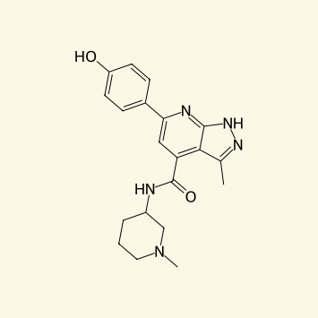 Cc1n[nH]c2nc(-c3ccc(O)cc3)cc(C(=O)NC3CCCN(C)C3)c12